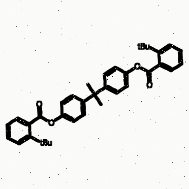 CC(C)(C)c1ccccc1C(=O)Oc1ccc(C(C)(C)c2ccc(OC(=O)c3ccccc3C(C)(C)C)cc2)cc1